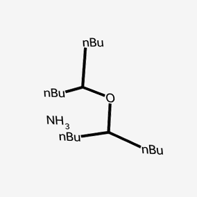 CCCCC(CCCC)OC(CCCC)CCCC.N